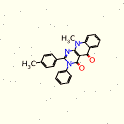 Cc1ccc(-c2nc3c(c(=O)c4ccccc4n3C)c(=O)n2-c2ccccc2)cc1